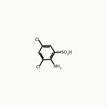 Nc1c(Cl)cc(Cl)cc1S(=O)(=O)O